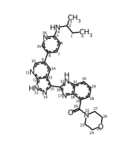 CCC(C)Nc1ccc(-c2cnc3[nH]nc(-c4nc5c(C(=O)N6CCOCC6)cccc5[nH]4)c3c2)cn1